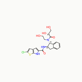 O=C(N[C@@H]1Cc2ccccc2[C@H]1N(CCO)C(=O)[C@H](O)CO)c1cc2cc(Cl)sc2[nH]1